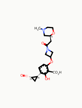 CN1CCO[C@@H](CC(=O)N2CC(Oc3ccc([C@@H]4C[C@@H]4B=O)c(O)c3C(=O)O)C2)C1